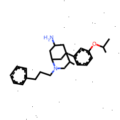 CC(C)Oc1cccc(C23CC(N)CC(C2)N(CCCc2ccccc2)CC3C)c1